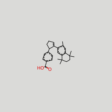 Cc1cc2c(cc1C1=CCCC1c1ccc(C(=O)O)cc1)C(C)(C)CCC2(C)C